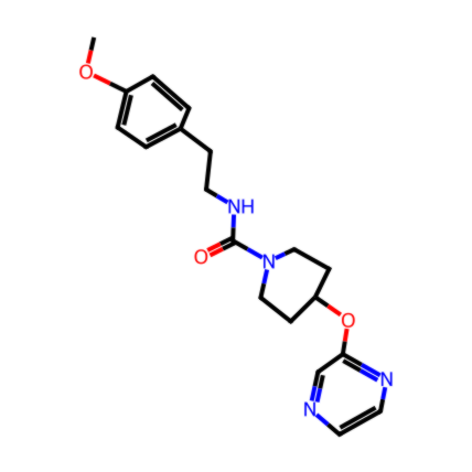 COc1ccc(CCNC(=O)N2CCC(Oc3cnccn3)CC2)cc1